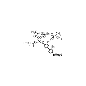 C=C(C)C(=O)OCCCc1cc(-c2ccc(CCCCCCC)cc2CC)ccc1OCC(COC(=O)C(=C)C)(COC(=O)C(=O)OCC)COC(=O)C(=O)OCC